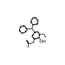 C=C(C)Cc1cc(C(c2ccccc2)c2ccccc2)cc(CC)c1O